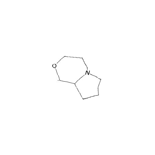 [CH]1OCCN2CCCC12